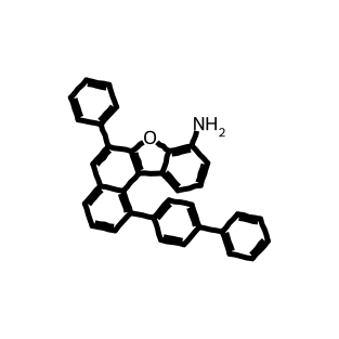 Nc1cccc2c1oc1c(-c3ccccc3)cc3cccc(-c4ccc(-c5ccccc5)cc4)c3c12